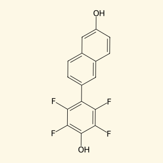 Oc1ccc2cc(-c3c(F)c(F)c(O)c(F)c3F)ccc2c1